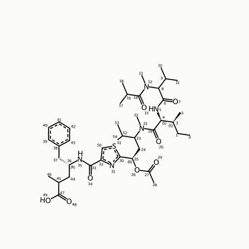 CC[C@H](C)[C@H](NC(=O)C(C(C)C)N(C)C(=O)C(C)C)C(=O)N(C)C(C[C@@H](OC(C)=O)c1nc(C(=O)N[C@@H](Cc2ccccc2)CC(C)C(=O)O)cs1)C(C)C